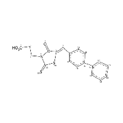 O=C(O)CCN1C(=O)/C(=C/c2ccc(-c3ccccc3)cc2)SC1=S